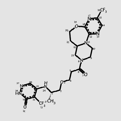 C[C@@H](COCCC(=O)N1CCN2c3ncc(C(F)(F)F)nc3OCCC2C1)Nc1cn[nH]c(=O)c1C(F)(F)F